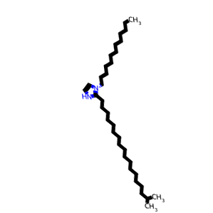 CCCCCCCCCCCCC[n+]1cc[nH]c1CCCCCCCCCCCCCCCCC(C)C